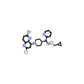 Clc1cc(N2CCC(/C(=N/OCC3CC3)c3ccccn3)CC2)c2nc(Br)ccc2n1